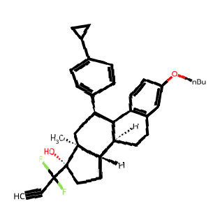 C#CC(F)(F)[C@]1(O)CC[C@H]2[C@@H]3CCc4cc(OCCCC)ccc4C3[C@H](c3ccc(C4CC4)cc3)C[C@@]21C